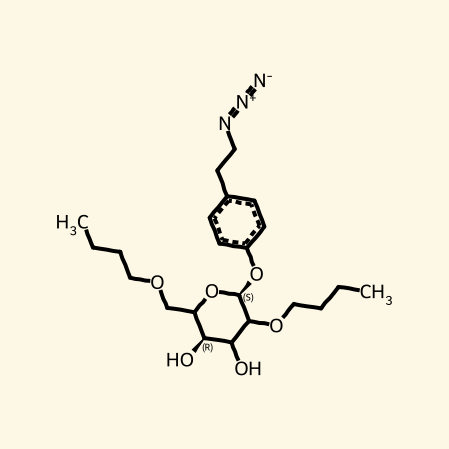 CCCCOCC1O[C@@H](Oc2ccc(CCN=[N+]=[N-])cc2)C(OCCCC)C(O)[C@H]1O